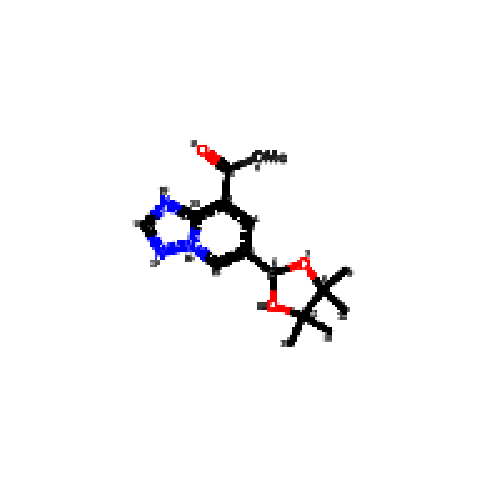 COC(=O)c1cc(B2OC(C)(C)C(C)(C)O2)cn2ncnc12